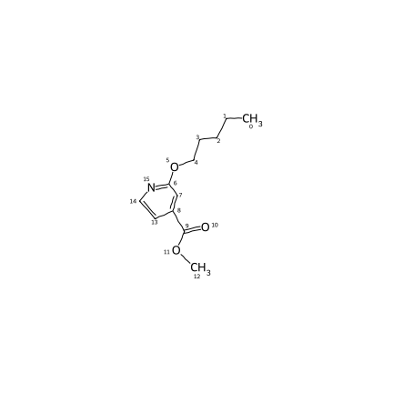 CCCCCOc1cc(C(=O)OC)ccn1